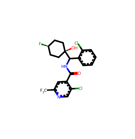 O=C(NC(c1ccccc1Cl)[C@]1(O)CC[C@@H](F)CC1)c1cc(C(F)(F)F)ncc1Cl